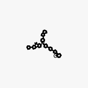 CC1(C)c2cc(-c3ccccc3)ccc2-c2ccc(N(c3ccc(-c4ccc(-c5ccc6c(c5)oc5ccccc56)cc4)cc3)c3ccc(-c4ccc5ccccc5c4)cc3)cc21